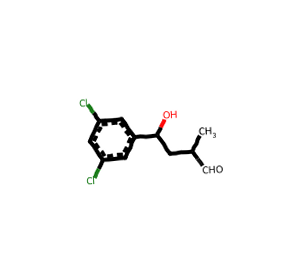 CC(C=O)CC(O)c1cc(Cl)cc(Cl)c1